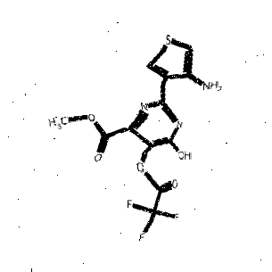 COC(=O)c1nc(-c2cscc2N)nc(O)c1OC(=O)C(F)(F)F